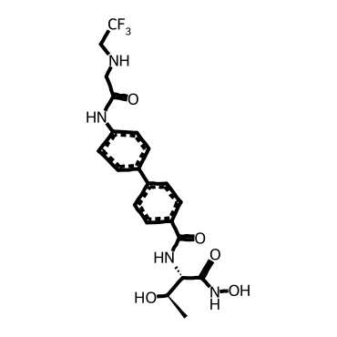 C[C@@H](O)[C@H](NC(=O)c1ccc(-c2ccc(NC(=O)CNCC(F)(F)F)cc2)cc1)C(=O)NO